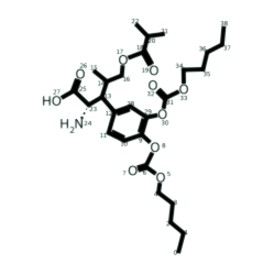 CCCCCOC(=O)Oc1ccc(C(C(C)COC(=O)C(C)C)[C@H](N)C(=O)O)cc1OC(=O)OCCCCC